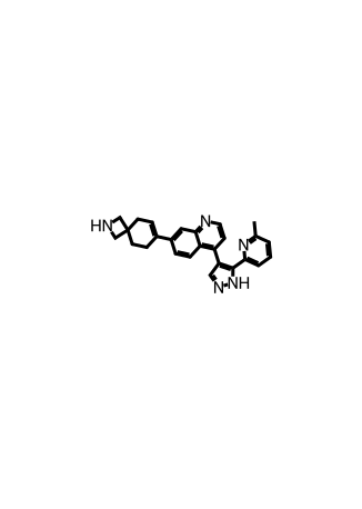 Cc1cccc(-c2[nH]ncc2-c2ccnc3cc(C4=CCC5(CC4)CNC5)ccc23)n1